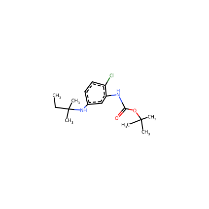 CCC(C)(C)Nc1ccc(Cl)c(NC(=O)OC(C)(C)C)c1